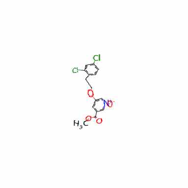 COC(=O)c1cc(OCCc2ccc(Cl)cc2Cl)c[n+]([O-])c1